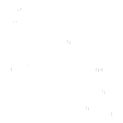 CCOc1cc(CN2CCC(Nc3cc(C)nc(Cl)n3)CC2)cc(OCC)c1